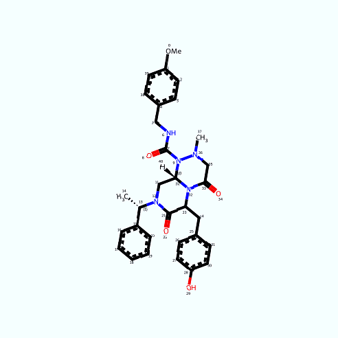 COc1ccc(CNC(=O)N2[C@H]3CN([C@@H](C)c4ccccc4)C(=O)C(Cc4ccc(O)cc4)N3C(=O)CN2C)cc1